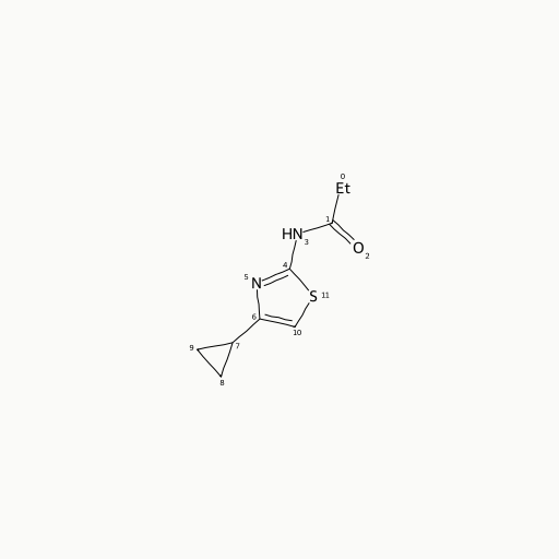 CCC(=O)Nc1nc(C2CC2)cs1